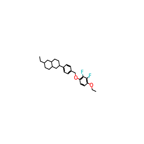 CCOc1ccc(OCc2ccc(C3CCC4CC(CC)CCC4C3)cc2)c(F)c1F